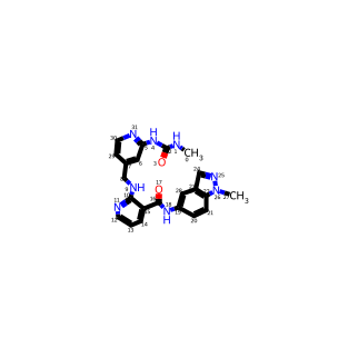 CNC(=O)Nc1cc(CNc2ncccc2C(=O)Nc2ccc3c(cnn3C)c2)ccn1